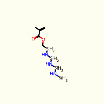 C=C(C)C(=O)OC[SiH2]N[SiH2]N[SiH2]N[SiH3]